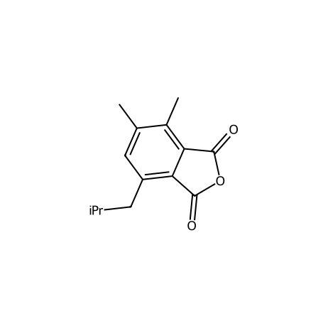 Cc1cc(CC(C)C)c2c(c1C)C(=O)OC2=O